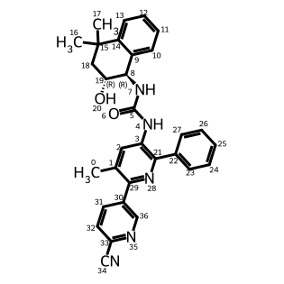 Cc1cc(NC(=O)N[C@@H]2c3ccccc3C(C)(C)C[C@H]2O)c(-c2ccccc2)nc1-c1ccc(C#N)nc1